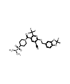 CN(C)S(=O)(=O)C1CCN(C(=O)c2cc(C#N)c(OCc3ccc4c(c3)OC(F)(F)O4)nc2C(F)(F)F)CC1